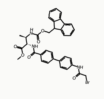 COC(=O)[C@@H](NC(=O)c1ccc(-c2ccc(NC(=O)CBr)cc2)cc1)[C@@H](C)NC(=O)OCC1c2ccccc2-c2ccccc21